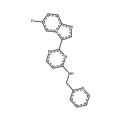 Fc1ccc2ncc(-c3nccc(NCc4ccccn4)n3)n2c1